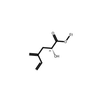 C=CC(=C)C[C@@H](O)C(=O)OCC